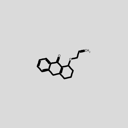 C=CCOC1CCCC2=C1C(=O)c1ccccc1C2